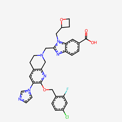 O=C(O)c1ccc2nc(CN3CCc4cc(-n5ccnc5)c(OCc5ccc(Cl)cc5F)nc4C3)n(CC3CCO3)c2c1